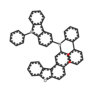 c1ccc(-c2ccccc2N(c2ccc3ccc4oc5ccccc5c4c3c2)c2ccc3c(c2)c2ccccc2n3-c2ccccc2)cc1